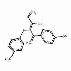 C=N/C(N)=C(\Sc1ccc(C)cc1)C(=C)c1ccc(O)cc1